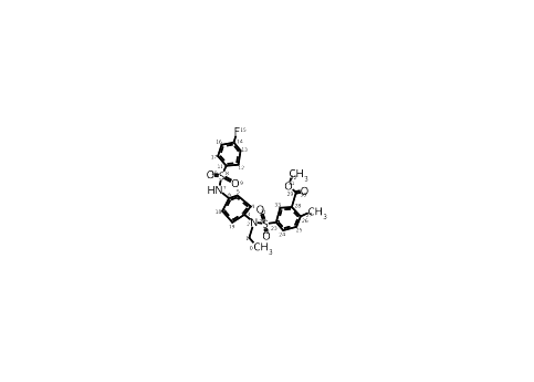 CCN(c1ccc(NS(=O)(=O)c2ccc(F)cc2)cc1)S(=O)(=O)c1ccc(C)c(C(=O)OC)c1